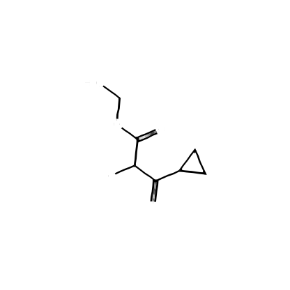 CCOC(=O)C(C)C(=O)C1CC1